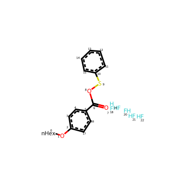 CCCCCCOc1ccc(C(=O)OSc2ccccc2)cc1.F.F.F.F.F